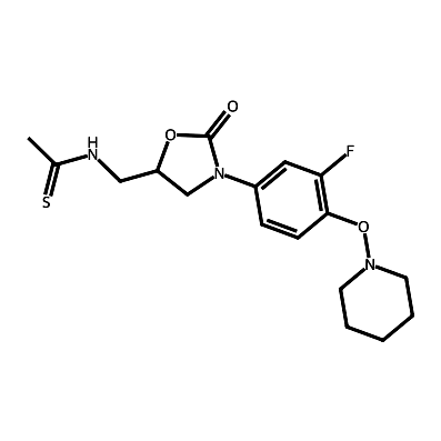 CC(=S)NCC1CN(c2ccc(ON3CCCCC3)c(F)c2)C(=O)O1